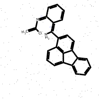 C=C(Cl)/N=C1/C=CC=C/C1=C(/N)c1ccc2c3c(cccc13)-c1ccccc1-2